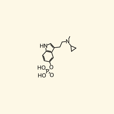 CN(CCc1c[nH]c2ccc(OP(=O)(O)O)cc12)C1CC1